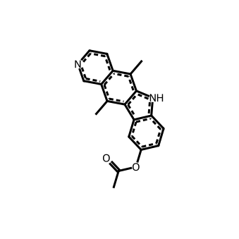 CC(=O)Oc1ccc2[nH]c3c(C)c4ccncc4c(C)c3c2c1